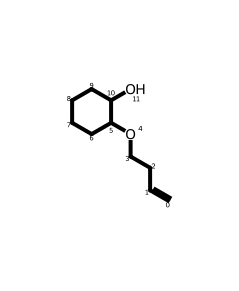 C=CCCOC1CCCCC1O